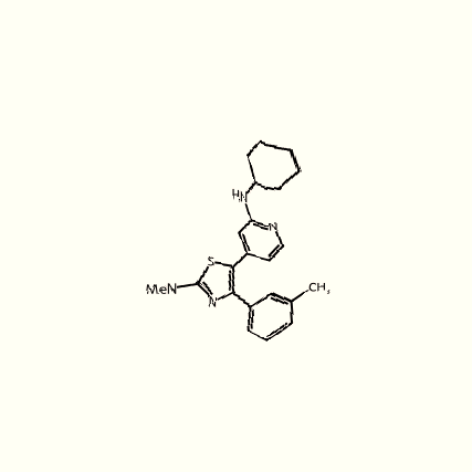 CNc1nc(-c2cccc(C)c2)c(-c2ccnc(NC3CCCCC3)c2)s1